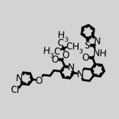 CC(C)(C)OC(=O)c1nc(N2CCc3cccc(C(=O)Nc4nc5ccccc5s4)c3C2)ccc1CCCOc1ccnc(Cl)c1